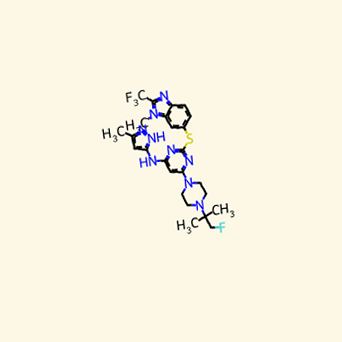 Cc1cc(Nc2cc(N3CCN(C(C)(C)CF)CC3)nc(Sc3ccc4nc(C(F)(F)F)n(C)c4c3)n2)[nH]n1